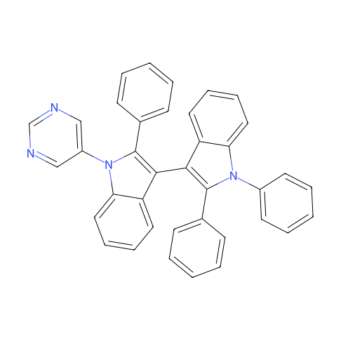 c1ccc(-c2c(-c3c(-c4ccccc4)n(-c4cncnc4)c4ccccc34)c3ccccc3n2-c2ccccc2)cc1